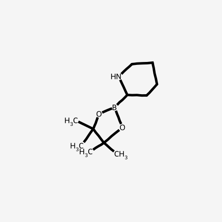 CC1(C)OB(C2CCCCN2)OC1(C)C